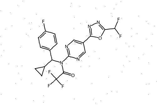 O=C(N(c1ncc(-c2nnc(C(F)F)o2)cn1)C(c1ccc(F)cc1)C1CC1)C(F)(F)F